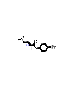 CC(C)C1CCC(NC(=O)/C=C/CN(C)C)CC1